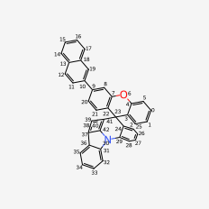 c1ccc2c(c1)Oc1cc(-c3ccc4ccccc4c3)ccc1C21c2ccccc2-n2c3ccccc3c3cccc1c32